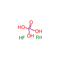 F.F.O=P(O)(O)O